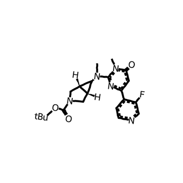 CN(c1nc(-c2ccncc2F)cc(=O)n1C)[C@H]1[C@@H]2CN(C(=O)OC(C)(C)C)C[C@@H]21